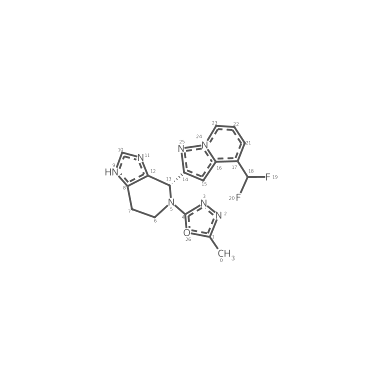 Cc1nnc(N2CCc3[nH]cnc3[C@@H]2c2cc3c(C(F)F)cccn3n2)o1